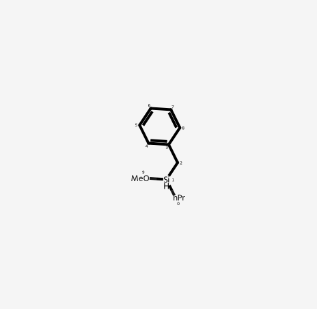 CCC[SiH](Cc1ccccc1)OC